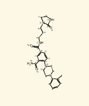 Cc1ccccc1N1CCN(c2ccc(C(=O)NCCCN3CCNC3=O)cc2C(N)=O)CC1